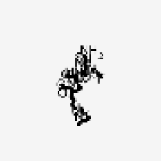 Cc1csc2cn(CC=CC3=C(C(=O)[O-])N4C(=O)[C@@H](NC(=O)/C(=N\OCF)c5nsc(N)n5)[C@H]4SC3)c[n+]12